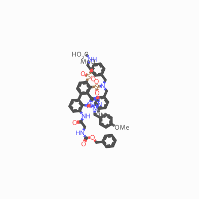 COc1ccc(CN(Cc2ccc(OC)cc2)S(=O)(=O)c2c(S(=O)(=O)CCNC(=O)O)ccc(-c3cccc(NC(=O)CNC(=O)OCc4ccccc4)c3N)c2-c2nnn(Cc3ccc(OC)cc3)n2)cc1